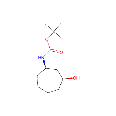 CC(C)(C)OC(=O)N[C@@H]1CCCC[C@H](O)C1